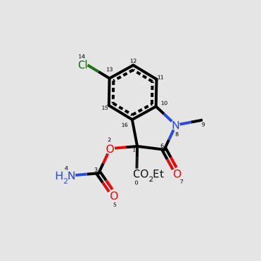 CCOC(=O)C1(OC(N)=O)C(=O)N(C)c2ccc(Cl)cc21